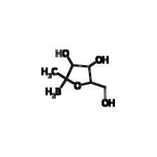 BC1(C)OC(CO)C(O)C1O